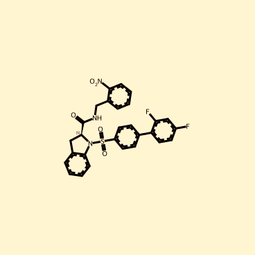 O=C(NCc1ccccc1[N+](=O)[O-])[C@@H]1Cc2ccccc2N1S(=O)(=O)c1ccc(-c2ccc(F)cc2F)cc1